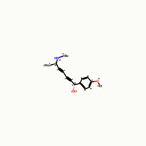 CCCCCCCCC[C@H](C#CC#C[C@@H](O)c1ccc(OCC)cc1)NCCCC